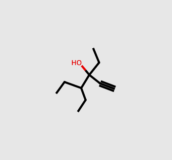 C#CC(O)(CC)C(CC)CC